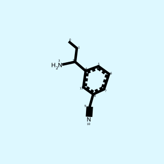 CCC(N)c1cccc(C#N)c1